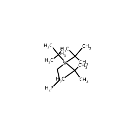 CC(C)(C)[Si](CCP)(C(C)(C)C)C(C)(C)C